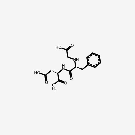 CC(=O)[C@H](CC(=O)O)NC(=O)[C@H](Cc1ccccc1)NCC(=O)O